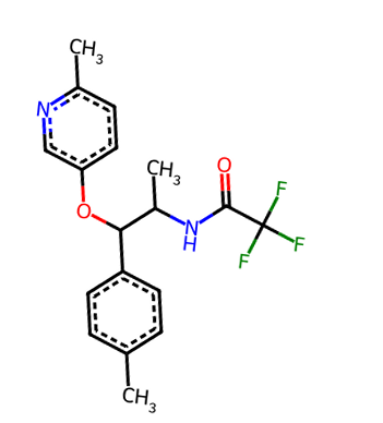 Cc1ccc(C(Oc2ccc(C)nc2)C(C)NC(=O)C(F)(F)F)cc1